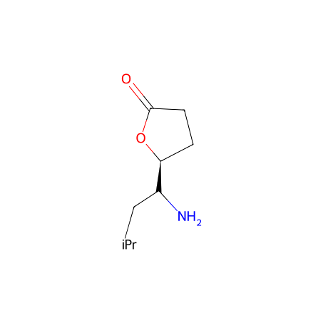 CC(C)CC(N)[C@@H]1CCC(=O)O1